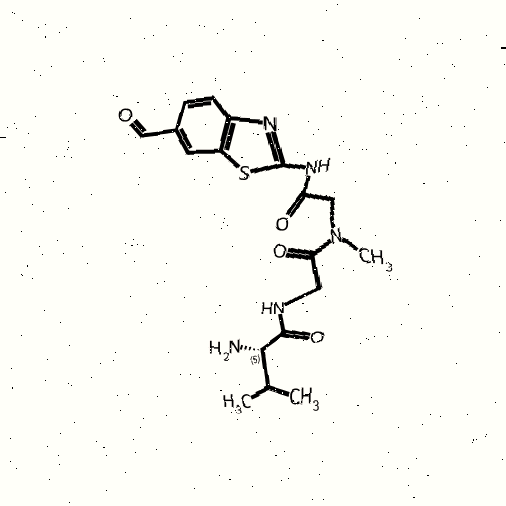 CC(C)[C@H](N)C(=O)NCC(=O)N(C)CC(=O)Nc1nc2ccc(C=O)cc2s1